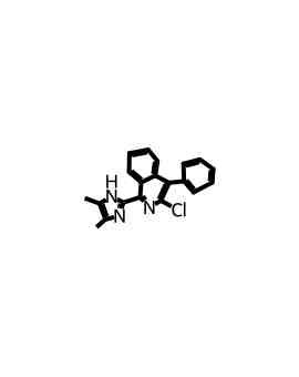 Cc1nc(-c2nc(Cl)c(-c3ccccc3)c3ccccc23)[nH]c1C